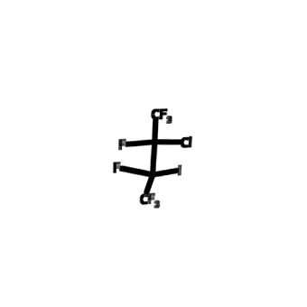 FC(F)(F)C(F)(Cl)C(F)(I)C(F)(F)F